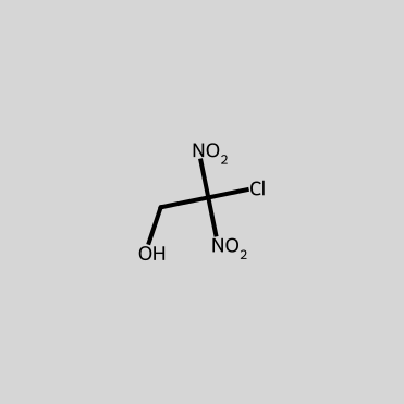 O=[N+]([O-])C(Cl)(CO)[N+](=O)[O-]